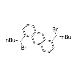 CCCCC(Br)c1cccc2cc3c(C(Br)CCCC)cccc3cc12